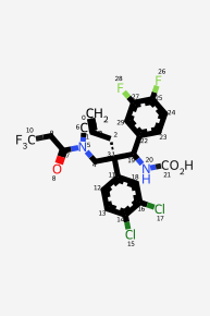 C=CC[C@@](CN(C)C(=O)CC(F)(F)F)(c1ccc(Cl)c(Cl)c1)C(NC(=O)O)c1ccc(F)c(F)c1